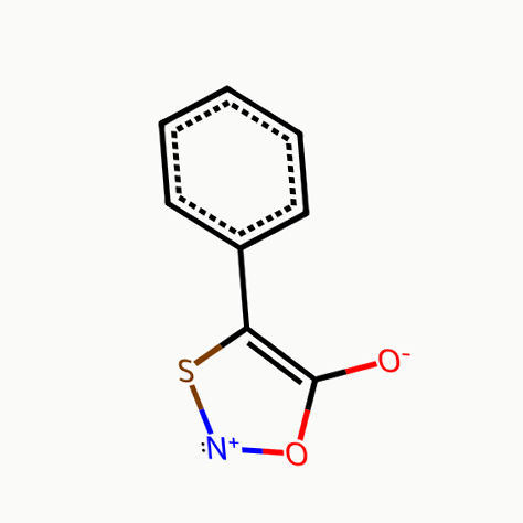 [O-]C1=C(c2ccccc2)S[N+]O1